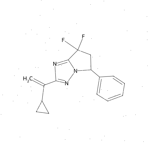 C=C(c1nc2n(n1)C(c1ccccc1)CC2(F)F)C1CC1